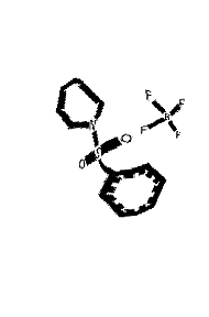 F[B-](F)(F)F.O=S(=O)(c1ccccc1)N1C=CC=CC1